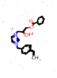 C=Cc1ccc(C[n+]2ccn(CC(O)COC(=O)c3ccccc3)c2)cc1.[I-]